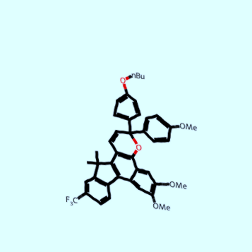 CCCCOc1ccc(C2(c3ccc(OC)cc3)C=Cc3c4c(c5cc(OC)c(OC)cc5c3O2)-c2ccc(C(F)(F)F)cc2C4(C)C)cc1